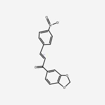 O=C(/C=C/c1ccc([N+](=O)[O-])cc1)c1ccc2c(c1)OCO2